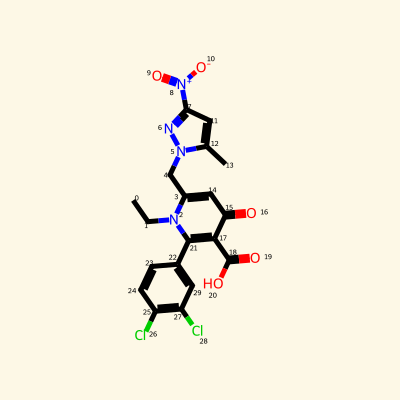 CCn1c(Cn2nc([N+](=O)[O-])cc2C)cc(=O)c(C(=O)O)c1-c1ccc(Cl)c(Cl)c1